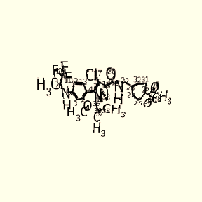 COc1cc(N[C@H](C)C(F)(F)F)ccc1-c1c(Cl)c(C(=O)NCC2CCC(S(C)(=O)=O)CC2)nn1CC(C)C